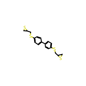 c1cc(-c2ccc(SCC3CS3)cc2)ccc1SCC1CS1